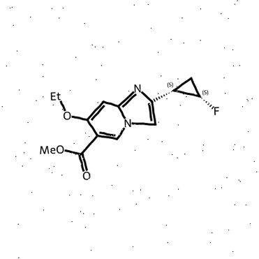 CCOc1cc2nc([C@@H]3C[C@@H]3F)cn2cc1C(=O)OC